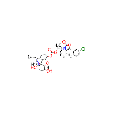 Cc1c(-c2cccc(Cl)c2)oc(=O)n1C(C)(C)COC(=O)Oc1ccc2c3c1O[C@H]1C(O)CC[C@@]4(O)[C@@H](C2)N(CC2CC2)C[C@]314